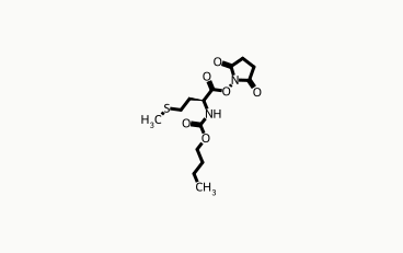 CCCCOC(=O)N[C@@H](CCSC)C(=O)ON1C(=O)CCC1=O